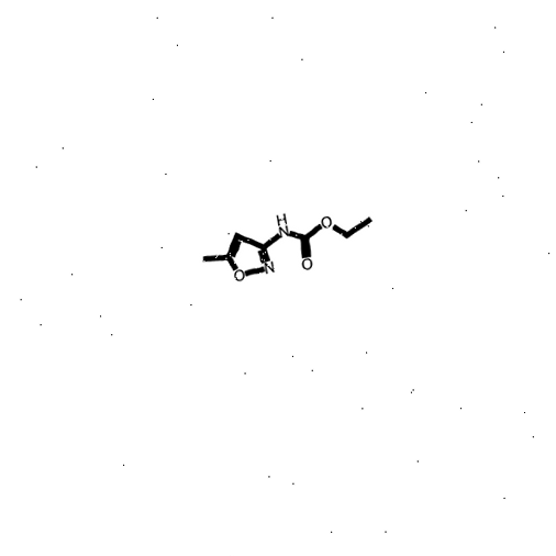 CCOC(=O)Nc1cc(C)on1